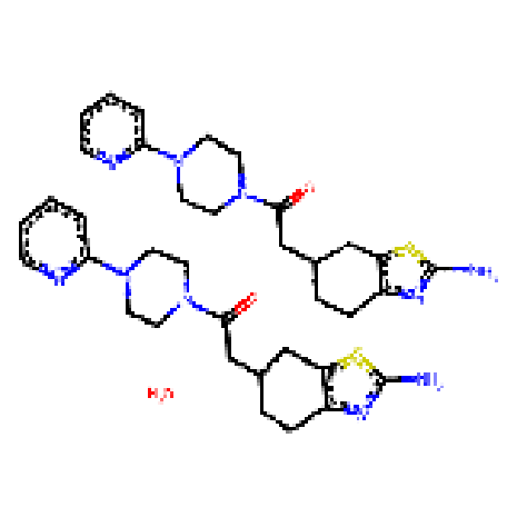 Nc1nc2c(s1)CC(CC(=O)N1CCN(c3ccccn3)CC1)CC2.Nc1nc2c(s1)CC(CC(=O)N1CCN(c3ccccn3)CC1)CC2.O